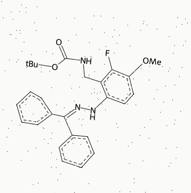 COc1ccc(NN=C(c2ccccc2)c2ccccc2)c(CNC(=O)OC(C)(C)C)c1F